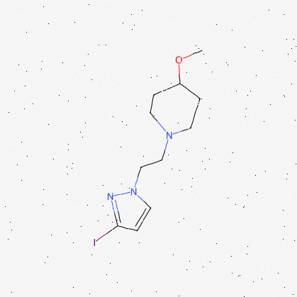 COC1CCN(CCn2ccc(I)n2)CC1